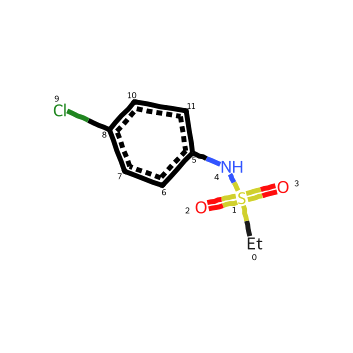 CCS(=O)(=O)Nc1ccc(Cl)cc1